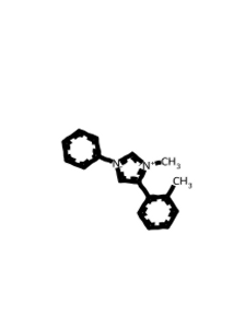 Cc1ccccc1-c1cn(-c2ccccc2)c[n+]1C